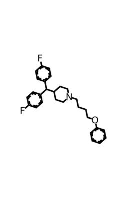 Fc1ccc(C(c2ccc(F)cc2)C2CCN(CCCCOc3ccccc3)CC2)cc1